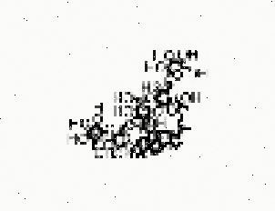 C[C@H](CC[C@@H](O[C@@H]1OC(CO[C@@H]2OC(CO)[C@@H](O)C(O)C2O)[C@@H](O)C(O)[C@@H]1O[C@@H]1OC(CO)[C@@H](O)C(O)C1O)C(C)(C)O)[C@H]1CC[C@@]2(C)[C@@H]3CC=C4[C@@H](CC[C@H](O[C@@H]5OC(CO)[C@@H](O[C@@H]6OC(CO)[C@@H](O)C(O)C6O)C(O)C5O)C4(C)C)[C@]3(C)[C@H](O)C[C@]12C